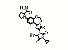 CC(C)C1C(=O)N(C2CC2)C(=O)N1c1nc2n(c1Cl)CCOc1cc(N3CCC[C@H]3C(N)=O)ccc1-2